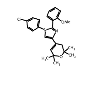 COc1ccccc1-c1nc(C2=CC(C)(C)OC(C)(C)C2)cn1-c1ccc(Cl)cc1